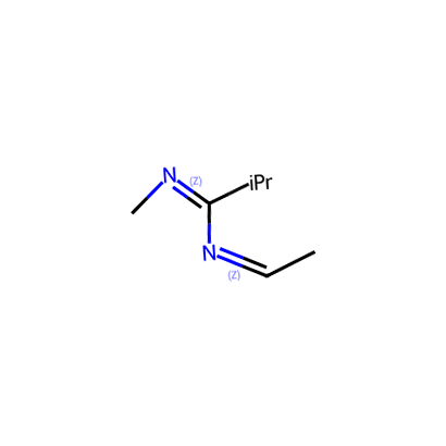 C/C=N\C(=N/C)C(C)C